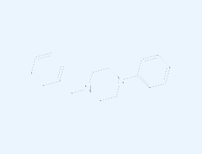 [c]1ccccc1N1CCN(Cc2ccccc2)CC1